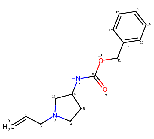 C=CCN1CCC(NC(=O)OCc2ccccc2)C1